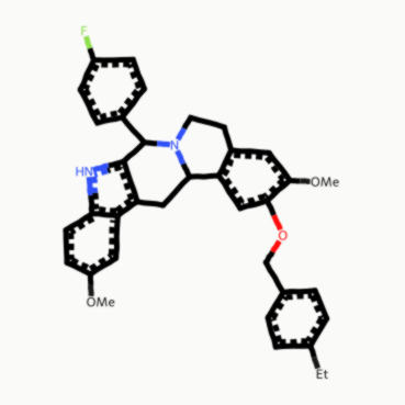 CCc1ccc(COc2cc3c(cc2OC)CCN2C3Cc3c([nH]c4ccc(OC)cc34)C2c2ccc(F)cc2)cc1